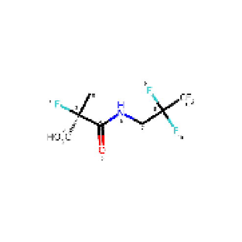 C[C@@](F)(C(=O)O)C(=O)NCC(F)(F)C(F)(F)F